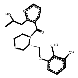 CC(O)Cc1ncccc1C(=O)N1CCOC[C@H]1COc1cccc(O)c1C=O